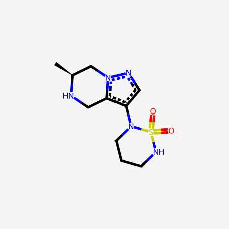 C[C@H]1Cn2ncc(N3CCCNS3(=O)=O)c2CN1